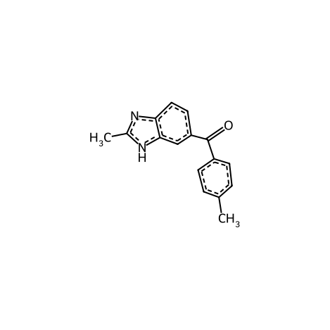 Cc1ccc(C(=O)c2ccc3nc(C)[nH]c3c2)cc1